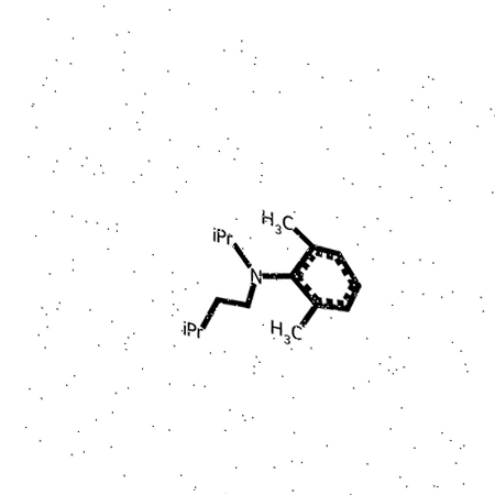 Cc1cccc(C)c1N(CCC(C)C)C(C)C